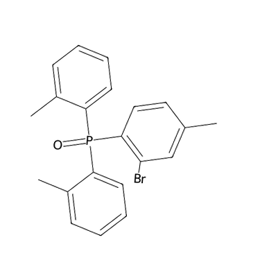 Cc1ccc(P(=O)(c2ccccc2C)c2ccccc2C)c(Br)c1